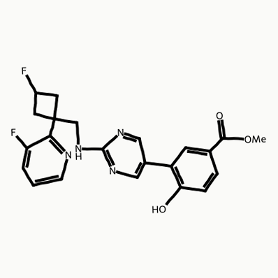 COC(=O)c1ccc(O)c(-c2cnc(NCC3(c4ncccc4F)CC(F)C3)nc2)c1